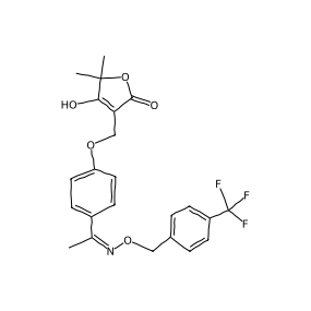 CC(=NOCc1ccc(C(F)(F)F)cc1)c1ccc(OCC2=C(O)C(C)(C)OC2=O)cc1